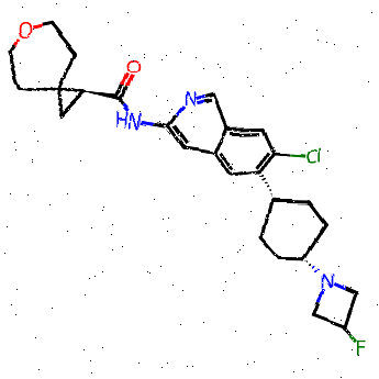 O=C(Nc1cc2cc([C@H]3CC[C@@H](N4CC(F)C4)CC3)c(Cl)cc2cn1)[C@H]1CC12CCOCC2